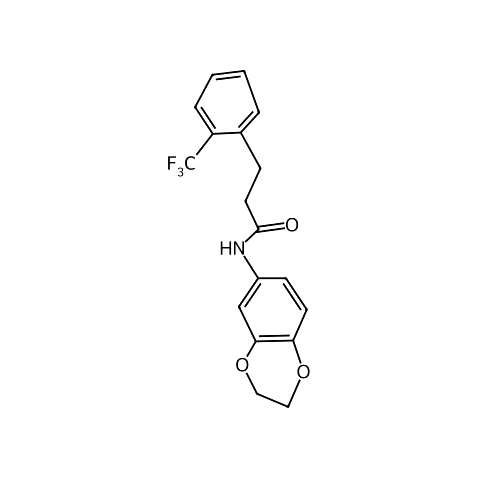 O=C(CCc1ccccc1C(F)(F)F)Nc1ccc2c(c1)OCCO2